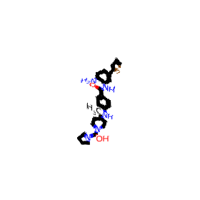 CC1(Nc2ccc(C(=O)Nc3cc(-c4cccs4)ccc3N)cc2)CCN(C(O)N2CCCC2)CC1